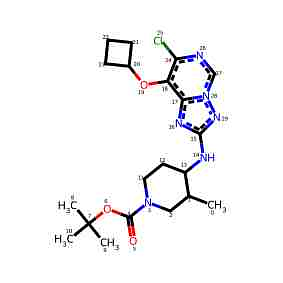 CC1CN(C(=O)OC(C)(C)C)CCC1Nc1nc2c(OC3CCC3)c(Cl)ncn2n1